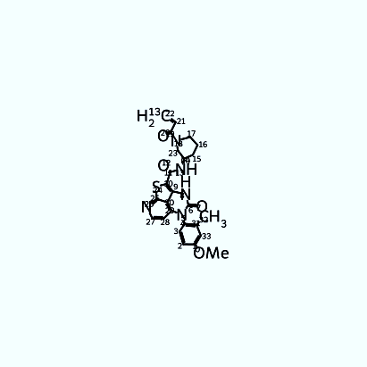 COc1ccc(N2C(=O)Nc3c(C(=O)N[C@@H]4CCCN(C(=O)C=[13CH2])C4)sc4nccc2c34)c(C)c1